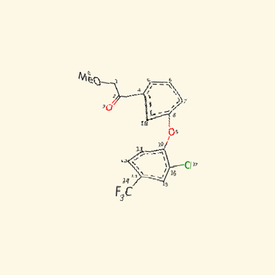 COCC(=O)c1cccc(Oc2ccc(C(F)(F)F)cc2Cl)c1